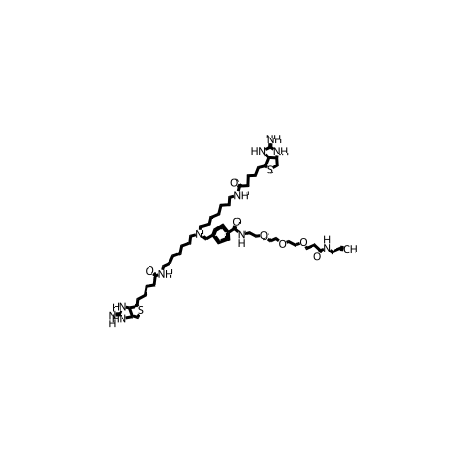 C#CCNC(=O)CCOCCOCCOCCNC(=O)c1ccc(CN(CCCCCCCNC(=O)CCCCC2SCC3NC(=N)NC32)CCCCCCCNC(=O)CCCCC2SCC3NC(=N)NC32)cc1